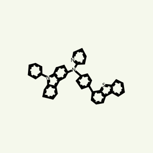 c1ccc(-n2c3ccccc3c3cc(N(c4ccc(-c5cccc6c5sc5ccccc56)cc4)c4ccccn4)ccc32)cc1